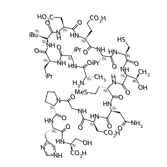 CC[C@H](C)[C@H](NC(=O)[C@H](CC(C)C)NC(=O)[C@@H](NC(=O)[C@H](C)N)C(C)C)C(=O)N[C@@H](CC(=O)O)C(=O)N[C@@H](CCC(=O)O)C(=O)N[C@H](C(=O)N[C@@H](CS)C(=O)N[C@H](C(=O)N[C@@H](CCSC)C(=O)N[C@@H](CC(N)=O)C(=O)N[C@@H](CC(=O)O)C(=O)NCC(=O)N1CCC[C@H]1C(=O)N[C@@H](Cc1c[nH]cn1)C(=O)N[C@@H](CO)C(=O)O)[C@@H](C)O)C(C)C